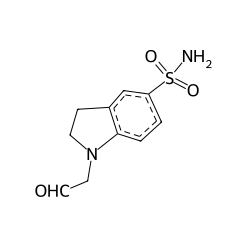 NS(=O)(=O)c1ccc2c(c1)CCN2CC=O